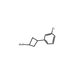 CCc1cccc(C2CC(NC)C2)c1